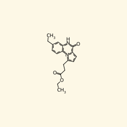 CCOC(=O)CCc1ccc2c(=O)[nH]c3cc(CC)ccc3n12